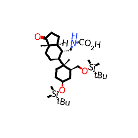 CC(C)(C)[Si](C)(C)OC[C@H]1C[C@@H](O[Si](C)(C)C(C)(C)C)CC[C@]1(C)[C@H]1CC[C@]2(C)C(=O)CC[C@H]2[C@@H]1CNC(=O)O